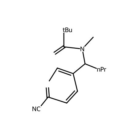 C=C(C#N)/C=C\C(=C/C)C(CCC)N(C)C(=C)C(C)(C)C